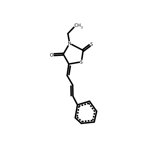 CCN1C(=O)C(=CC=Cc2ccccc2)SC1=S